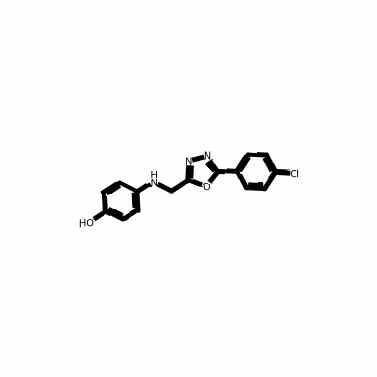 Oc1ccc(NCc2nnc(-c3ccc(Cl)cc3)o2)cc1